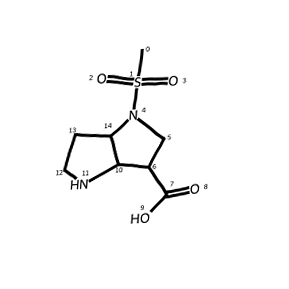 CS(=O)(=O)N1CC(C(=O)O)C2NCCC21